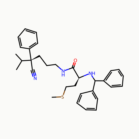 CSCC[C@H](NC(c1ccccc1)c1ccccc1)C(=O)NCCC[C@](C#N)(c1ccccc1)C(C)C